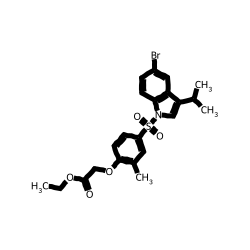 CCOC(=O)COc1ccc(S(=O)(=O)n2cc(C(C)C)c3cc(Br)ccc32)cc1C